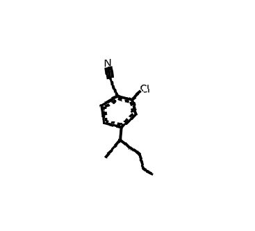 CCCC(C)c1ccc(C#N)c(Cl)c1